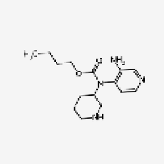 CCCCOC(=O)N(c1ccncc1N)C1CCCNC1